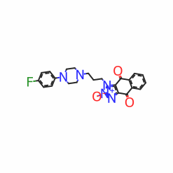 O=C1c2ccccc2C(=O)c2c1n[n+]([O-])n2CCCN1CCN(c2ccc(F)cc2)CC1